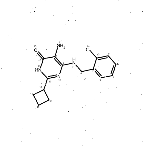 Nc1c(NCc2ccccc2Cl)nc(C2CCC2)[nH]c1=O